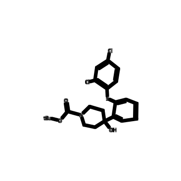 CC(C)(C)OC(=O)N1CCC(O)(c2ccccc2Sc2ccc(Cl)cc2Cl)CC1